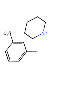 C1CCNCC1.Cc1cccc([N+](=O)[O-])c1